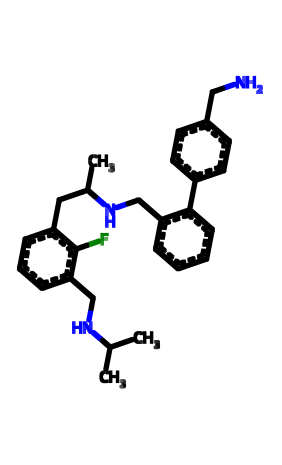 CC(C)NCc1cccc(CC(C)NCc2ccccc2-c2ccc(CN)cc2)c1F